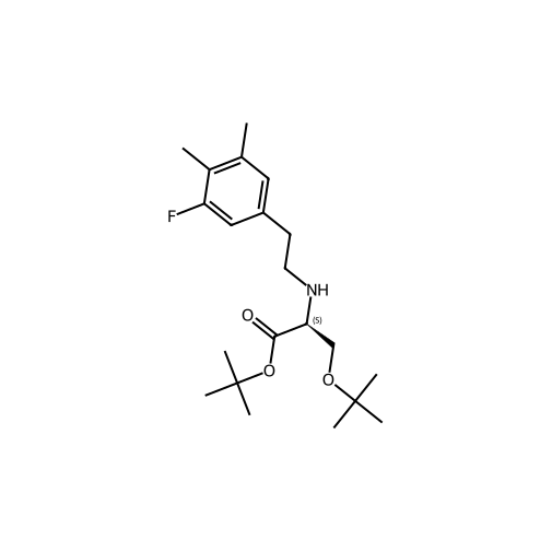 Cc1cc(CCN[C@@H](COC(C)(C)C)C(=O)OC(C)(C)C)cc(F)c1C